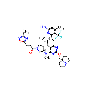 Cc1noc(/C=C/C(=O)N2CC[C@@H](N(C)c3nc(OCC45CCCN4CCC5)nc4c3C[C@H](C)[C@@H](c3nc(N)cc(C)c3C(F)(F)F)C4)C2)n1